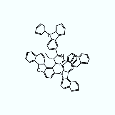 CC[C@@H]1C(c2ccc3c(c2)c2ccccc2n3-c2ccccc2)=NC(c2ccc3ccccc3c2)=NC1c1c(-n2c3cc4ccccc4cc3c3c4ccccc4ccc32)ccc2oc3c4ccccc4ccc3c12